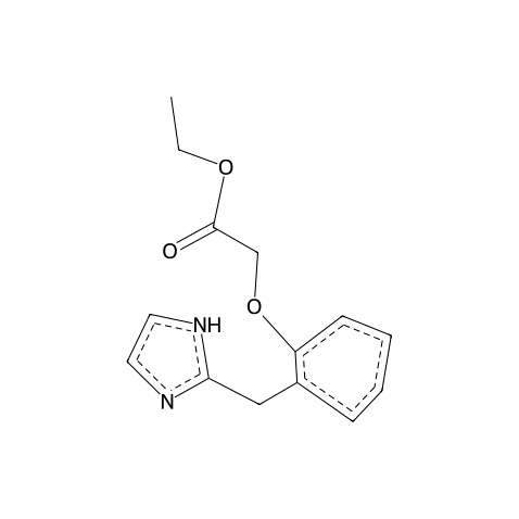 CCOC(=O)COc1ccccc1Cc1ncc[nH]1